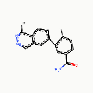 Cc1ccc(C(N)=O)cc1-c1ccc2c(C(C)C)nncc2c1